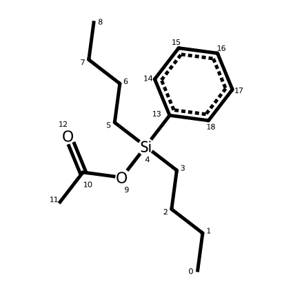 CCCC[Si](CCCC)(OC(C)=O)c1ccccc1